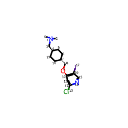 CN(C)C[C@H]1CC[C@H](COc2cc(Cl)ncc2I)CC1